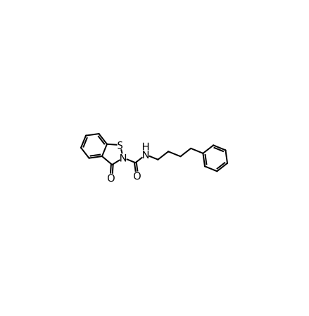 O=C(NCCCCc1ccccc1)n1sc2ccccc2c1=O